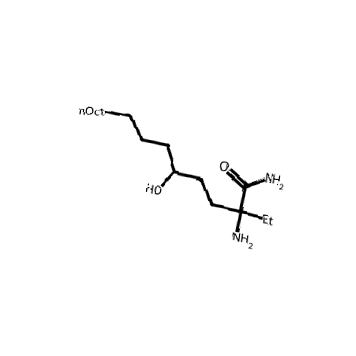 CCCCCCCCCCCC(O)CCC(N)(CC)C(N)=O